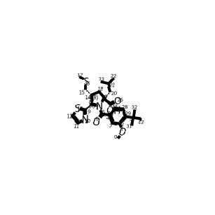 COc1cc(C(=O)N2[C@@H](c3nccs3)[C@H](CSC)C[C@@]2(CC(C)C)C(=O)O)ccc1C(C)(C)C